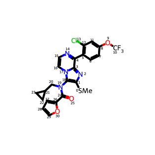 CSc1nc2c(-c3ccc(OC(F)(F)F)cc3Cl)nccn2c1N(CC1CC1)C(=O)c1ccco1